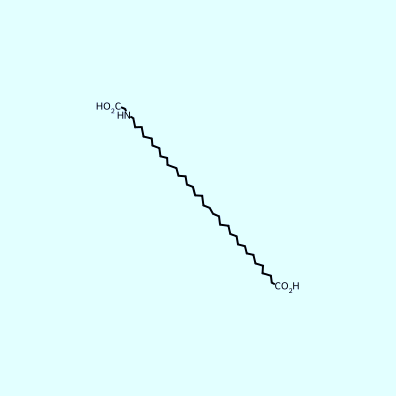 O=C(O)CCCCCCCCCCCCCCCCCCCCCCCCCCCCCCCCCCNCC(=O)O